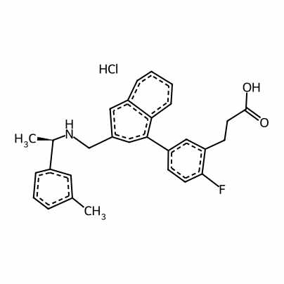 Cc1cccc([C@@H](C)NCc2cc(-c3ccc(F)c(CCC(=O)O)c3)c3ccccc3c2)c1.Cl